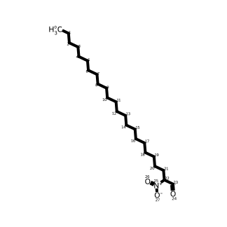 CCCCCCCCCCCCCCCCCCCCCCC([C]=O)[N+](=O)[O-]